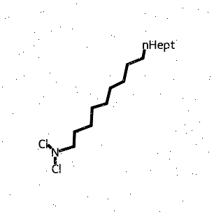 CCCCCCCCCCCCCCCCN(Cl)Cl